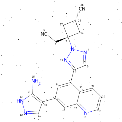 N#CC[C@]1(n2ncc(-c3cc(-c4cn[nH]c4N)cc4ncccc34)n2)C[C@@H](C#N)C1